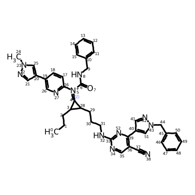 CCCC1/C(=[N+](/C(=O)NCc2ccccc2)c2ccc(-c3cnn(C)c3)cn2)C1CCCNc1ncc(C#N)c(-c2cnn(Cc3ccccc3)c2)n1